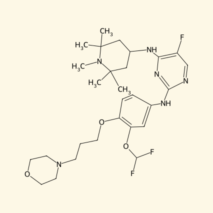 CN1C(C)(C)CC(Nc2nc(Nc3ccc(OCCCN4CCOCC4)c(OC(F)F)c3)ncc2F)CC1(C)C